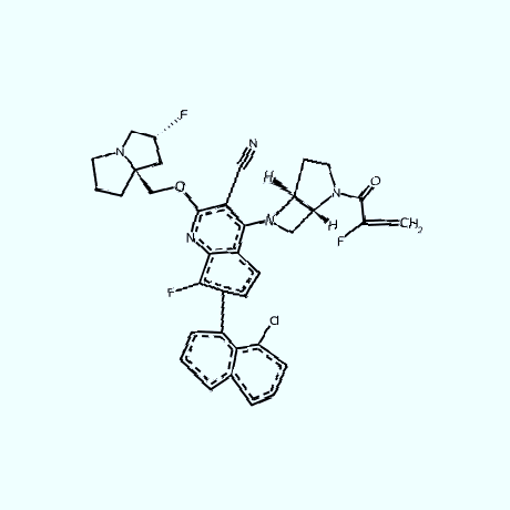 C=C(F)C(=O)N1CC[C@@H]2[C@H]1CN2c1c(C#N)c(OC[C@@]23CCCN2C[C@H](F)C3)nc2c(F)c(-c3cccc4cccc(Cl)c34)ccc12